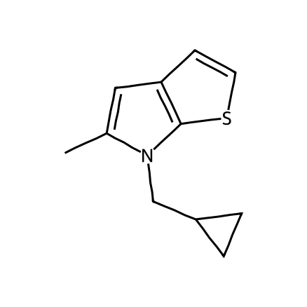 Cc1cc2ccsc2n1CC1CC1